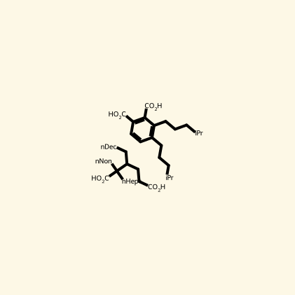 CC(C)CCCc1ccc(C(=O)O)c(C(=O)O)c1CCCC(C)C.CCCCCCCCCCCC(CCC(=O)O)C(CCCCCCC)(CCCCCCCCC)C(=O)O